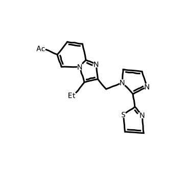 CCc1c(Cn2ccnc2-c2nccs2)nc2ccc(C(C)=O)cn12